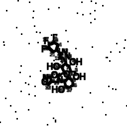 O=C([C@@H]1O[C@H](CO)[C@H](O)[C@H](n2cc(-c3cc(F)c(F)c(F)c3)nn2)[C@H]1O)N(Cc1cnoc1)[C@H]1CCCC[C@@H]1O